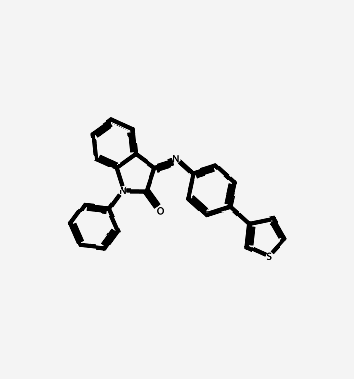 O=C1C(=Nc2ccc(-c3ccsc3)cc2)c2ccccc2N1c1ccccc1